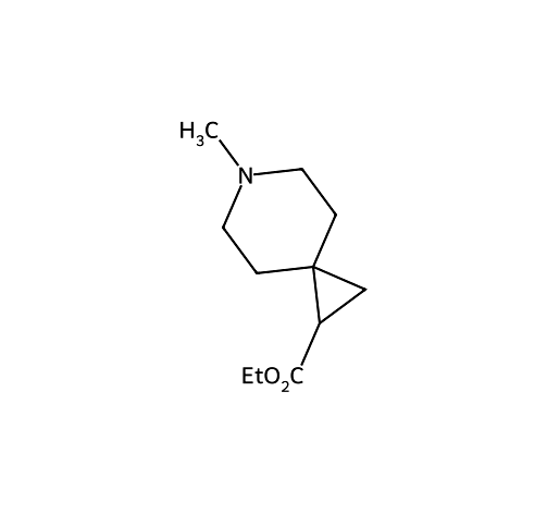 CCOC(=O)C1CC12CCN(C)CC2